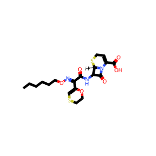 CCCCCCO/N=C(/C(=O)NC1C(=O)N2C(C(=O)O)=CCS[C@H]12)C1=CSCCO1